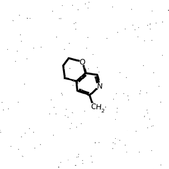 [CH2]c1cc2c(cn1)OCCC2